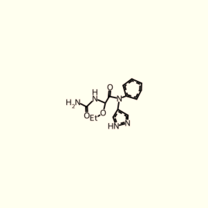 CCOC(NC(N)=O)C(=O)N(c1ccccc1)c1cn[nH]c1